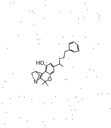 CC(CCCc1ccccc1)c1cc(O)c2c(c1)OC(C)(C)C1=C2C2CCN1CC2